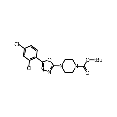 CC(C)(C)OC(=O)N1CCN(c2nnc(-c3ccc(Cl)cc3Cl)o2)CC1